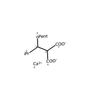 CCCCCC(C(C)C)C(C(=O)[O-])C(=O)[O-].[Ca+2]